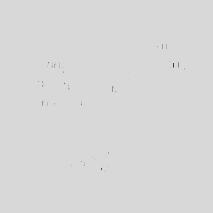 CC(C)C1CCC(N2CCC3(CC2)C(=O)N(C(C)N=C(N)N)Cc2cc(OS(N)(=O)=O)ccc23)CC1